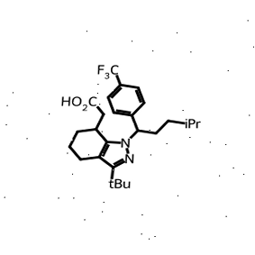 CC(C)CCC(c1ccc(C(F)(F)F)cc1)n1nc(C(C)(C)C)c2c1C(CC(=O)O)CCC2